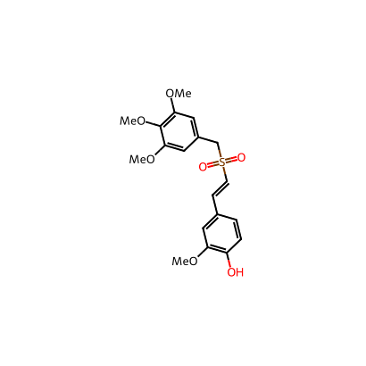 COc1cc(/C=C/S(=O)(=O)Cc2cc(OC)c(OC)c(OC)c2)ccc1O